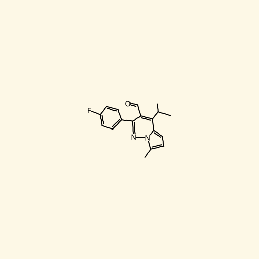 Cc1ccc2c(C(C)C)c(C=O)c(-c3ccc(F)cc3)nn12